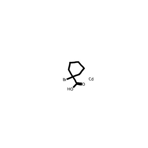 O=C(O)C1(Br)CCCCC1.[Cd]